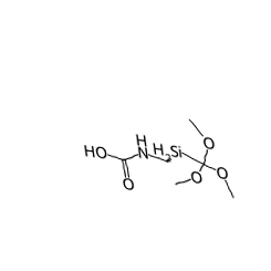 COC(OC)(OC)[SiH2]CNC(=O)O